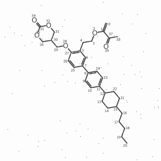 C=C(OCCc1cc(-c2ccc(C3CCC(CCCCC)CC3)cc2)ccc1OCC1COC(=O)OC1)C(C)=O